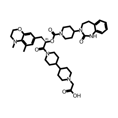 Cc1cc(C[C@@H](OC(=O)N2CCC(N3CCc4ccccc4NC3=O)CC2)C(=O)N2CCC(C3CCN(CC(=O)O)CC3)CC2)cc2c1N(C)CCO2